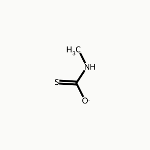 CNC([O])=S